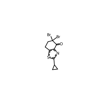 O=C1c2nc(C3CC3)sc2CCC1(Br)Br